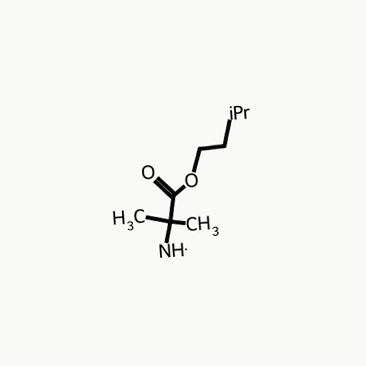 CC(C)CCOC(=O)C(C)(C)[NH]